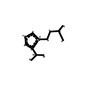 CC(C)CCn1cncc1C(C)C